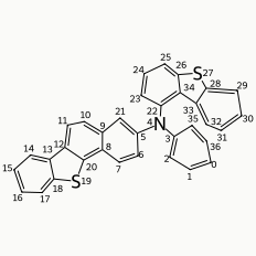 c1ccc(N(c2ccc3c(ccc4c5ccccc5sc34)c2)c2cccc3sc4ccccc4c23)cc1